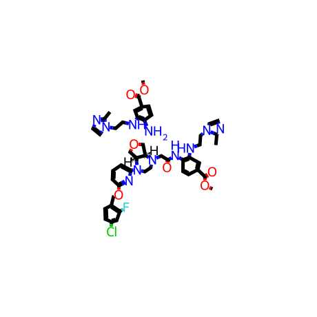 COC(=O)c1ccc(N)c(NCCn2ccnc2C)c1.COC(=O)c1ccc(NC(=O)CN2CCN(c3cccc(OCc4ccc(Cl)cc4F)n3)[C@H]3COC[C@H]32)c(NCCn2ccnc2C)c1